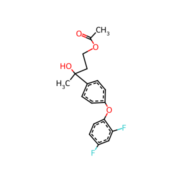 CC(=O)OCCC(C)(O)c1ccc(Oc2ccc(F)cc2F)cc1